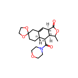 CC1OC(=O)[C@@H]2C=C3CC4(CC[C@H]3[C@H](C(=O)N3CCOCC3)[C@H]12)OCCO4